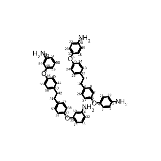 Nc1ccc(Oc2ccc(CCc3ccc(Oc4ccc(N)cc4)cc3)cc2)cc1.Nc1cccc(Oc2ccc(CCc3ccc(Oc4cccc(N)c4)cc3)cc2)c1